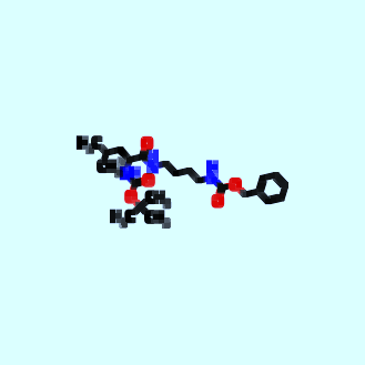 CC(C)C[C@H](NC(=O)OC(C)(C)C)C(=O)NCCCCNC(=O)OCc1ccccc1